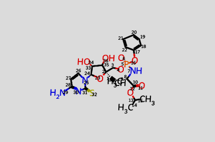 C#C[C@]1(COP(=O)(N[C@@H](C)C(=O)OC(C)C)Oc2ccccc2)O[C@@H](n2ccc(N)nc2=S)[C@@H](O)C1O